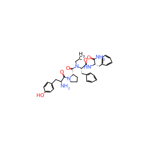 CCN(C(=O)[C@@H]1CCCN1C(=O)[C@@H](N)Cc1ccc(O)cc1)[C@@H](Cc1ccccc1)C(=O)N[C@@H](Cc1ccccc1)C(N)=O